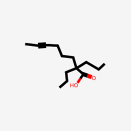 CC#CCCCC(CCC)(CCC)C(=O)O